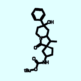 CC1C2CC(O)(c3ccccc3)CCN2C(=O)[C@]12CCC(NC(=O)OC(C)(C)C)C2